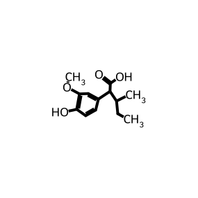 CCC(C)C(C(=O)O)c1ccc(O)c(OC)c1